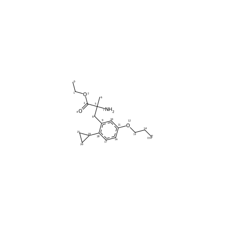 CCOC(=O)C(C)(N)Cc1cc(OCCF)ccc1C1CC1